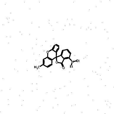 CCN(CC)c1cccc2c1C(=O)OC21c2ccccc2Oc2cc(C)ccc21